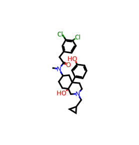 CN(C(=O)Cc1ccc(Cl)c(Cl)c1)C1CCC2(O)CN(CC3CC3)CCC2(c2cccc(O)c2)C1